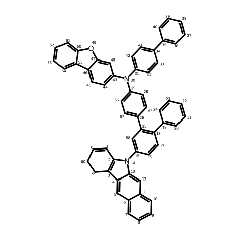 C1=Cc2c(c3cc4ccccc4cc3n2-c2ccc(-c3ccccc3)c(-c3ccc(N(c4ccc(-c5ccccc5)cc4)c4ccc5c(c4)oc4ccccc45)cc3)c2)CC1